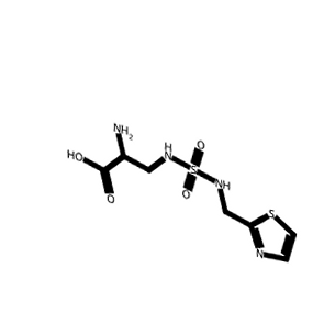 NC(CNS(=O)(=O)NCc1nccs1)C(=O)O